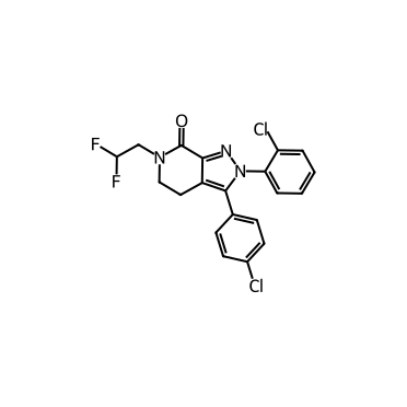 O=C1c2nn(-c3ccccc3Cl)c(-c3ccc(Cl)cc3)c2CCN1CC(F)F